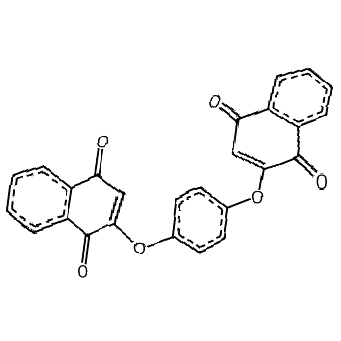 O=C1C=C(Oc2ccc(OC3=CC(=O)c4ccccc4C3=O)cc2)C(=O)c2ccccc21